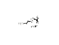 NCCNOC(=O)[O-].[Na+]